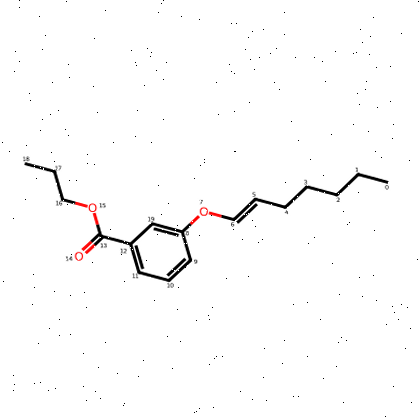 CCCCCC=COc1cccc(C(=O)OCCC)c1